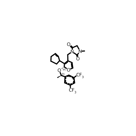 C[C@@H](O[C@H]1OC=CC(CN2C(=O)CN(C)C2=O)=C1C1C=CCCC1)c1cc(C(F)(F)F)cc(C(F)(F)F)c1